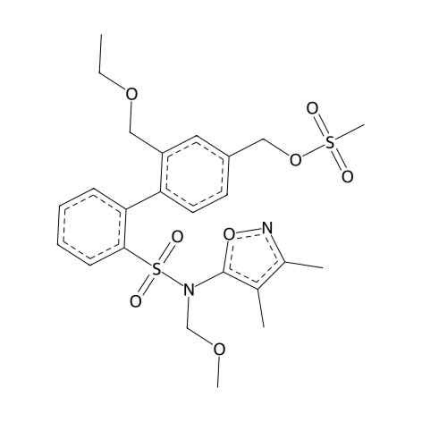 CCOCc1cc(COS(C)(=O)=O)ccc1-c1ccccc1S(=O)(=O)N(COC)c1onc(C)c1C